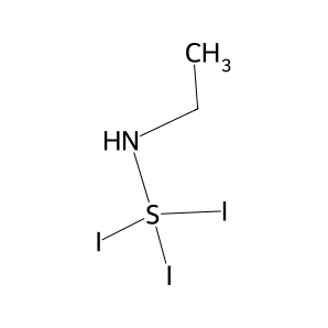 CCNS(I)(I)I